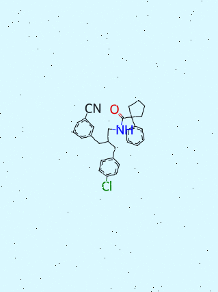 N#Cc1cccc(CC(CNC(=O)C2(c3ccccc3)CCCC2)Cc2ccc(Cl)cc2)c1